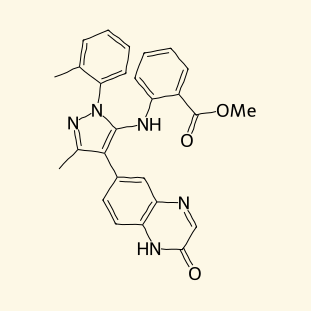 COC(=O)c1ccccc1Nc1c(-c2ccc3[nH]c(=O)cnc3c2)c(C)nn1-c1ccccc1C